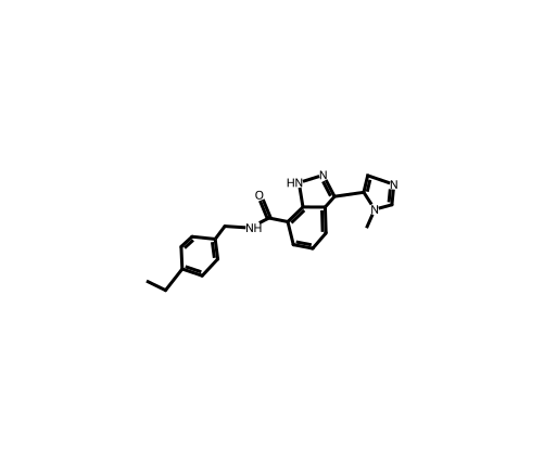 CCc1ccc(CNC(=O)c2cccc3c(-c4cncn4C)n[nH]c23)cc1